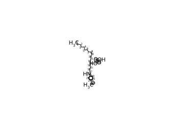 CCCCCCCC/C=C\CCCCCCCCNc1ccc(OC)cc1.O=S(=O)(O)O